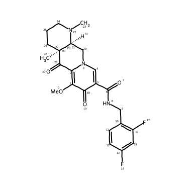 COc1c2n(cc(C(=O)NCc3ccc(F)cc3F)c1=O)C[C@@H]1N(C)CCC[C@]1(C)C2=O